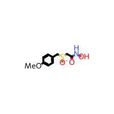 COc1ccc(C[S+]([O-])CC(=O)NO)cc1